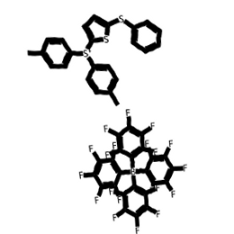 Cc1ccc([S+](c2ccc(C)cc2)c2ccc(Sc3ccccc3)s2)cc1.Fc1c(F)c(F)c([B-](c2c(F)c(F)c(F)c(F)c2F)(c2c(F)c(F)c(F)c(F)c2F)c2c(F)c(F)c(F)c(F)c2F)c(F)c1F